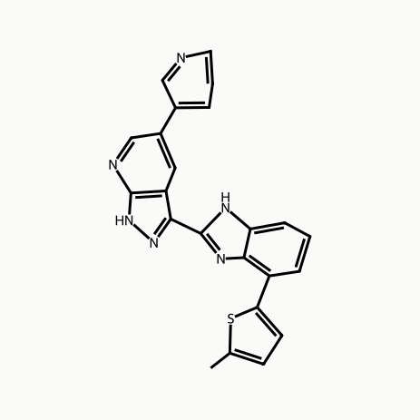 Cc1ccc(-c2cccc3[nH]c(-c4n[nH]c5ncc(-c6cccnc6)cc45)nc23)s1